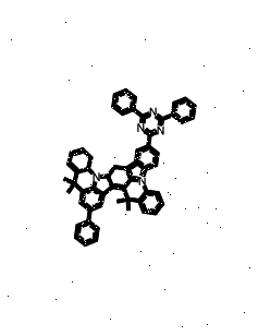 CC1(C)C2=C3c4cc(-c5ccccc5)cc5c4N(C4CC=CC=C4C5(C)C)C3Cc3c2n(c2ccc(-c4nc(-c5ccccc5)nc(-c5ccccc5)n4)cc32)-c2ccccc21